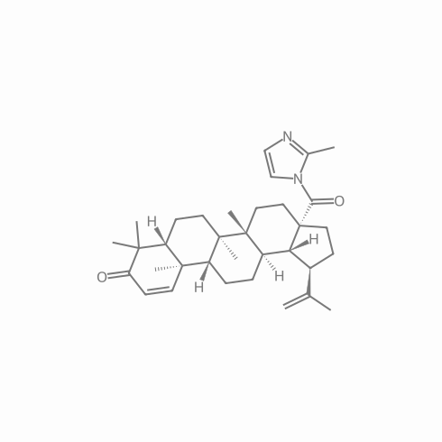 C=C(C)[C@@H]1CC[C@]2(C(=O)n3ccnc3C)CC[C@]3(C)[C@H](CC[C@@H]4[C@@]5(C)C=CC(=O)C(C)(C)[C@@H]5CC[C@]43C)[C@@H]12